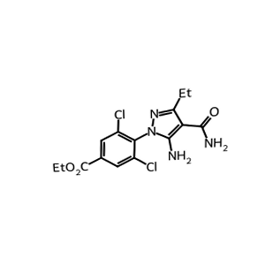 CCOC(=O)c1cc(Cl)c(-n2nc(CC)c(C(N)=O)c2N)c(Cl)c1